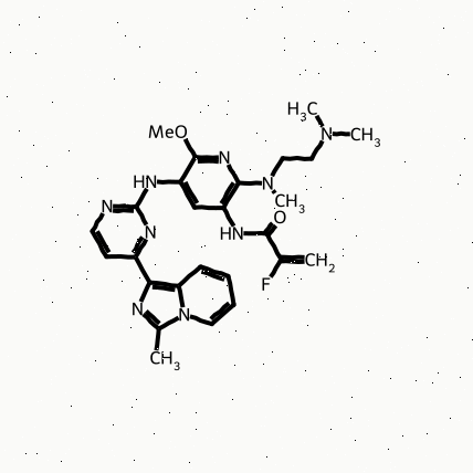 C=C(F)C(=O)Nc1cc(Nc2nccc(-c3nc(C)n4ccccc34)n2)c(OC)nc1N(C)CCN(C)C